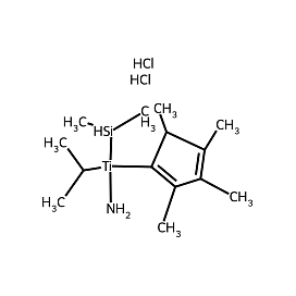 CC1=C(C)C(C)[C]([Ti]([NH2])([CH](C)C)[SiH](C)C)=C1C.Cl.Cl